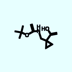 C=C(NCC1(C(=C)O)CC1)OC(C)(C)C